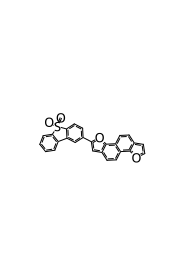 O=S1(=O)c2ccccc2-c2cc(-c3cc4ccc5c(ccc6ccoc65)c4o3)ccc21